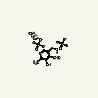 Cc1ncc(CO)c(C=O)c1O.O=P([O-])([O-])[O-].O=P([O-])([O-])[O-].[Ca+2].[Ca+2].[Ca+2]